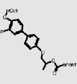 CCCCCCCCOc1ccc(-c2ccc(OCC(C)OC(=O)CCCCC)cc2)cc1F